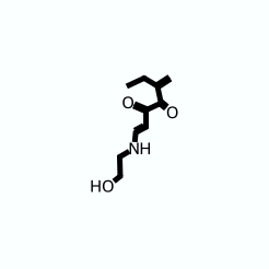 C=C(CC)C(=O)C(=O)C=CNCCO